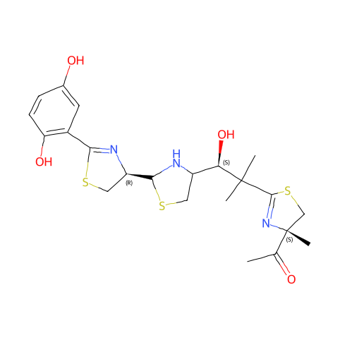 CC(=O)[C@@]1(C)CSC(C(C)(C)[C@H](O)C2CSC([C@H]3CSC(c4cc(O)ccc4O)=N3)N2)=N1